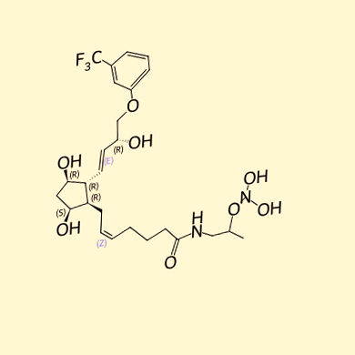 CC(CNC(=O)CCC/C=C\C[C@@H]1[C@@H](/C=C/[C@@H](O)COc2cccc(C(F)(F)F)c2)[C@H](O)C[C@@H]1O)ON(O)O